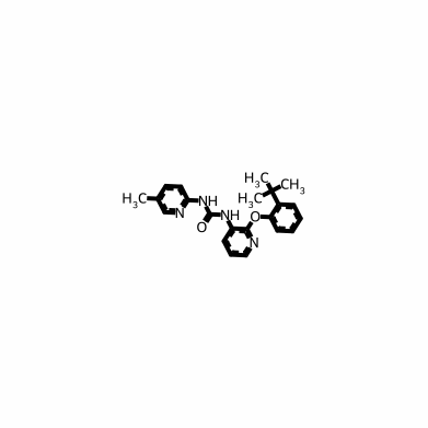 Cc1ccc(NC(=O)Nc2cccnc2Oc2ccccc2C(C)(C)C)nc1